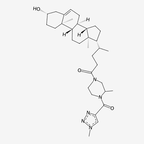 CC(CCC(=O)N1CCN(C(=O)c2cn(C)nn2)C(C)C1)[C@H]1CC[C@H]2[C@@H]3CC=C4C[C@@H](O)CC[C@]4(C)[C@H]3CC[C@]12C